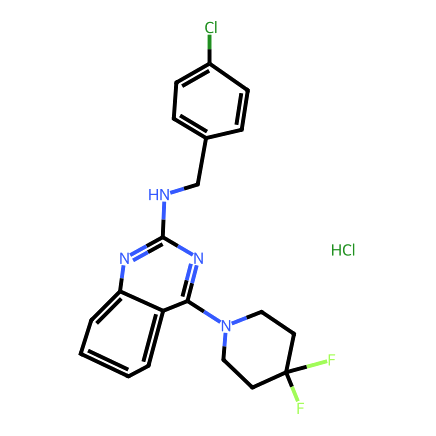 Cl.FC1(F)CCN(c2nc(NCc3ccc(Cl)cc3)nc3ccccc23)CC1